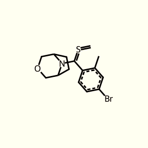 C=S=C(c1ccc(Br)cc1C)N1C2CCC1COC2